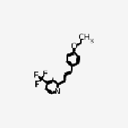 CCOc1ccc(C=CCc2[c]c(C(F)(F)F)ccn2)cc1